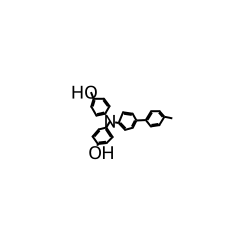 Cc1ccc(-c2ccc(N(c3ccc(O)cc3)c3ccc(O)cc3)cc2)cc1